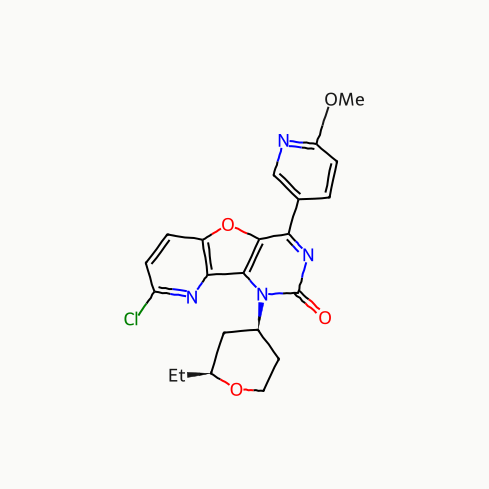 CC[C@H]1C[C@@H](n2c(=O)nc(-c3ccc(OC)nc3)c3oc4ccc(Cl)nc4c32)CCO1